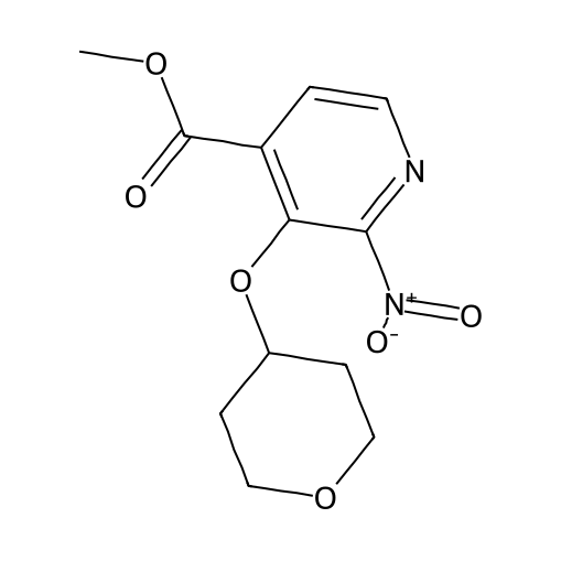 COC(=O)c1ccnc([N+](=O)[O-])c1OC1CCOCC1